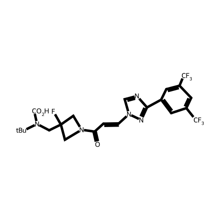 CC(C)(C)N(CC1(F)CN(C(=O)C=Cn2cnc(-c3cc(C(F)(F)F)cc(C(F)(F)F)c3)n2)C1)C(=O)O